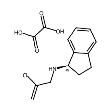 C=C(Cl)CN[C@@H]1CCc2ccccc21.O=C(O)C(=O)O